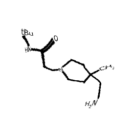 CC1(CN)CCN(CC(=O)NC(C)(C)C)CC1